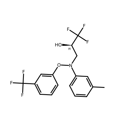 Cc1cccc(N(C[C@@H](O)C(F)(F)F)Oc2cccc(C(F)(F)F)c2)c1